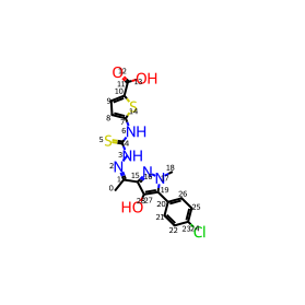 C/C(=N/NC(=S)Nc1ccc(C(=O)O)s1)c1nn(C)c(-c2ccc(Cl)cc2)c1O